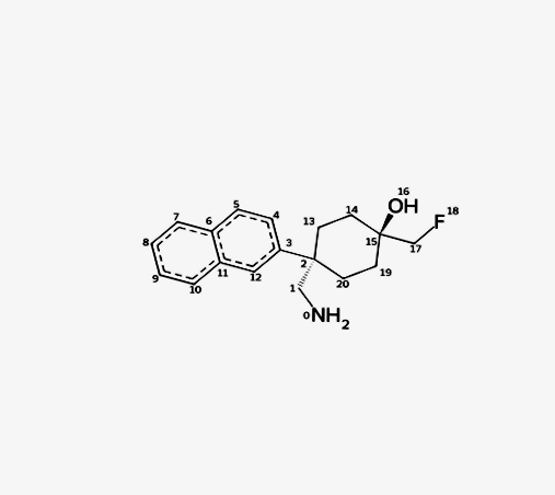 NC[C@]1(c2ccc3ccccc3c2)CC[C@](O)(CF)CC1